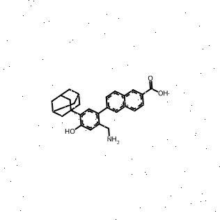 NCc1cc(O)c(C23CC4CC(CC(C4)C2)C3)cc1-c1ccc2cc(C(=O)O)ccc2c1